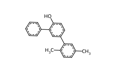 Cc1ccc(C)c(-c2ccc(O)c(-c3ccccc3)c2)c1